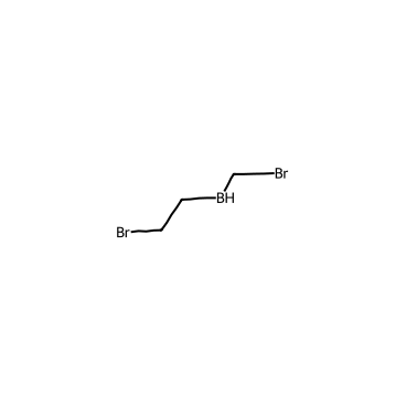 BrCBCCBr